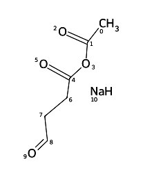 CC(=O)OC(=O)CCC=O.[NaH]